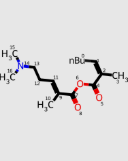 CCCCC=C(C)C(=O)OC(=O)C(C)=CCCN(C)C